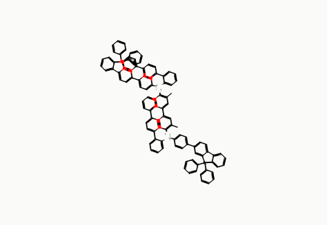 Cc1cc(-c2ccc(N(c3ccc(-c4ccc5c(c4)C(c4ccccc4)(c4ccccc4)c4ccccc4-5)cc3)c3ccccc3-c3ccc(-c4ccccc4)cc3)c(C)c2)ccc1N(c1ccc(-c2ccc3c(c2)C(c2ccccc2)(c2ccccc2)c2ccccc2-3)cc1)c1ccccc1-c1ccc(-c2ccccc2)cc1